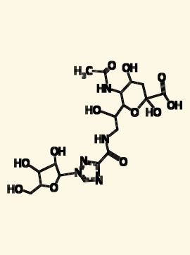 CC(=O)NC1C(O)CC(O)(C(=O)O)OC1C(O)CNC(=O)c1ncn(C2OC(CO)C(O)C2O)n1